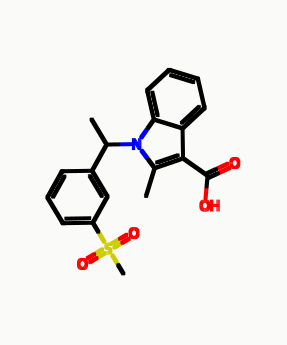 Cc1c(C(=O)O)c2ccccc2n1C(C)c1cccc(S(C)(=O)=O)c1